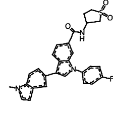 Cn1ccc2cc(-c3cn(-c4ccc(F)cc4)c4cc(C(=O)NC5CCS(=O)(=O)C5)ccc34)ccc21